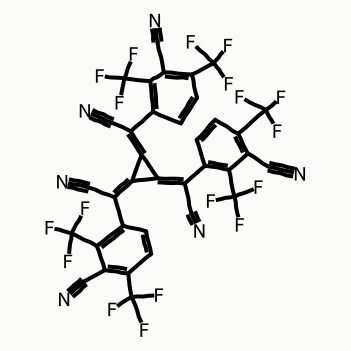 N#CC(=C1C(=C(C#N)c2ccc(C(F)(F)F)c(C#N)c2C(F)(F)F)C1=C(C#N)c1ccc(C(F)(F)F)c(C#N)c1C(F)(F)F)c1ccc(C(F)(F)F)c(C#N)c1C(F)(F)F